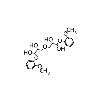 COc1ccccc1OC(O)C(O)COCC(O)C(O)Oc1ccccc1OC